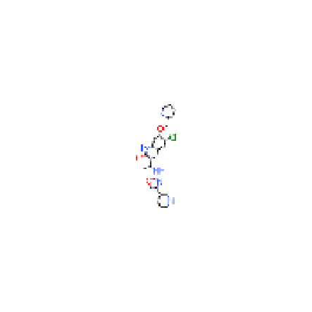 C[C@H](Nc1nc(-c2cccnc2)co1)c1cc2cc(Cl)c(OCc3ccccn3)cc2[nH]c1=O